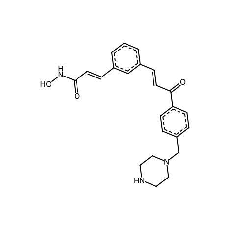 O=C(C=Cc1cccc(C=CC(=O)c2ccc(CN3CCNCC3)cc2)c1)NO